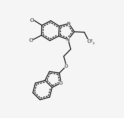 FC(F)(F)Cc1nc2cc(Cl)c(Cl)cc2n1CCOc1cc2ccccc2o1